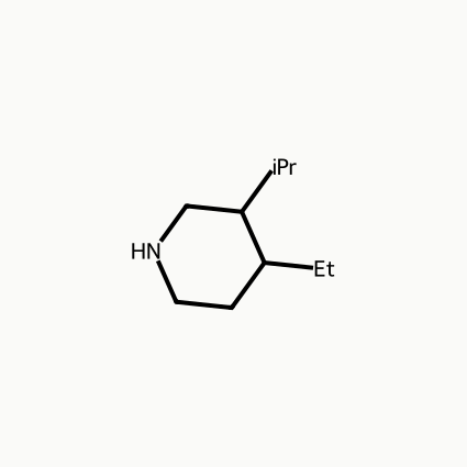 CCC1CCNCC1C(C)C